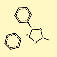 ClP1O[C@H](c2ccccc2)[C@@H](c2ccccc2)O1